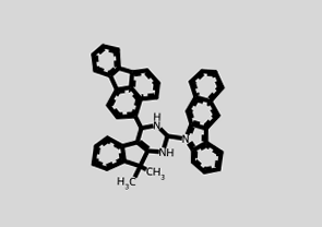 CC1(C)C2=C(c3ccccc31)C(c1ccc3c4c(cccc14)-c1ccccc1-3)NC(n1c3ccccc3c3cc4ccccc4cc31)N2